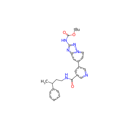 CC(CCNC(=O)c1cncc(-c2ccn3nc(NC(=O)OC(C)(C)C)nc3c2)c1)c1ccccc1